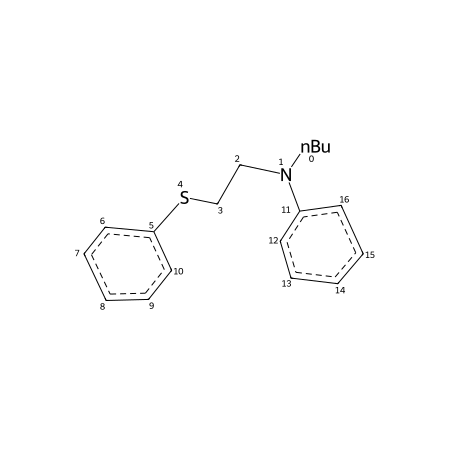 CCCCN(CCSc1ccccc1)c1ccccc1